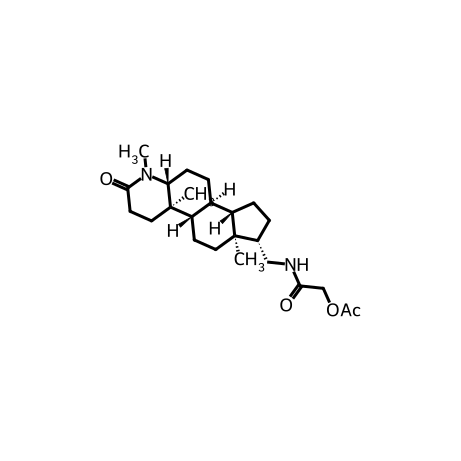 CC(=O)OCC(=O)NC[C@H]1CC[C@H]2[C@@H]3CC[C@H]4N(C)C(=O)CC[C@]4(C)[C@H]3CC[C@]12C